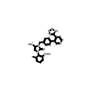 CCCCc1cn(-c2c(C)cccc2OC)c(=O)n1Cc1ccc(-c2cnccc2-c2nnn[nH]2)cc1